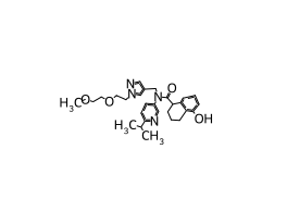 COCCOCCn1cc(CN(C(=O)C2CCCc3c(O)cccc32)c2ccc(C(C)C)nc2)cn1